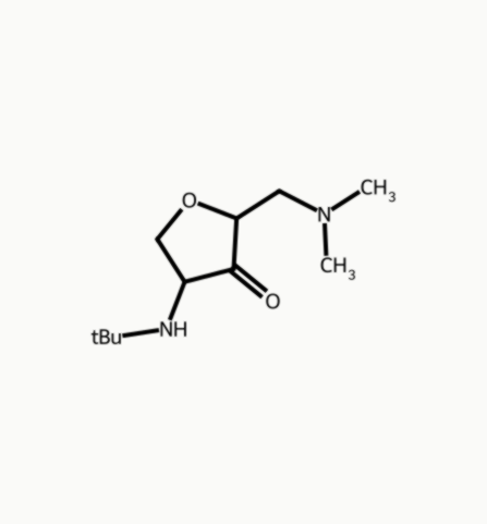 CN(C)CC1OCC(NC(C)(C)C)C1=O